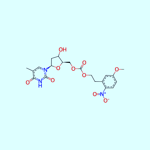 COc1ccc([N+](=O)[O-])c(CCOC(=O)OC[C@H]2O[C@@H](n3cc(C)c(=O)[nH]c3=O)CC2O)c1